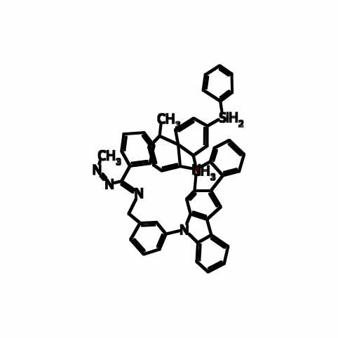 C/N=N\C(=N/Cc1cccc(-n2c3ccccc3c3cc4c5ccccc5n(C5=CC=CC(C)C56C=CC([SiH2]c5ccccc5)=CC6C)c4cc32)c1)c1ccccc1